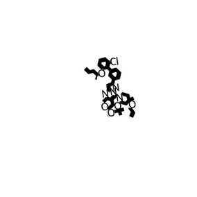 C=CCOC1(C)CCN(c2c([C@H](OC(C)(C)C)C(=O)OC)c(C)nc3cc(-c4cccc(-c5c(Cl)cccc5O[C@@H](C)CC=C)c4)nn23)CC1